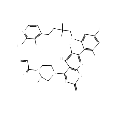 C=CC(=O)N1C[C@H](C)N(c2nc(=O)[nH]c3nc(-c4c(F)cc(F)cc4OCC(F)(F)CCc4ccnc(C(C)C)c4C)c(F)cc23)C[C@H]1C